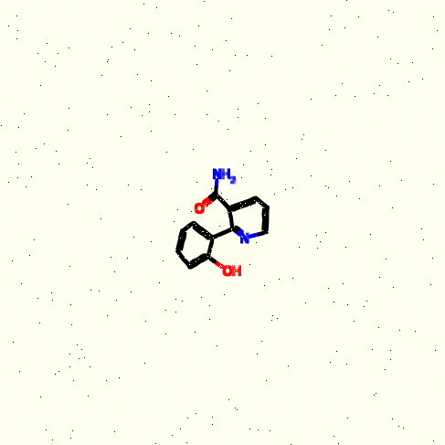 NC(=O)c1cccnc1-c1ccccc1O